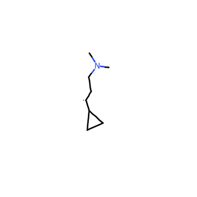 CN(C)CC[CH]C1CC1